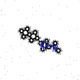 C1=CB2N3C=CC(c4ccc5c6ccccc6c6cc7c8ccccc8c8ccccc8c8ccccc8c7cc6c6ccccc6c5c4)=CB3N3C=CC=CB3N3C=C(n4c5ccccc5n5c6ccccc6nc45)C=CB3N2C=C1